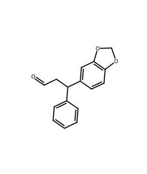 O=CCC(c1ccccc1)c1ccc2c(c1)OCO2